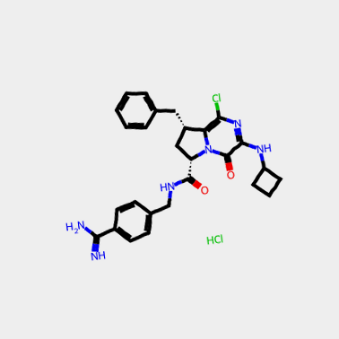 Cl.N=C(N)c1ccc(CNC(=O)[C@@H]2C[C@H](Cc3ccccc3)c3c(Cl)nc(NC4CCC4)c(=O)n32)cc1